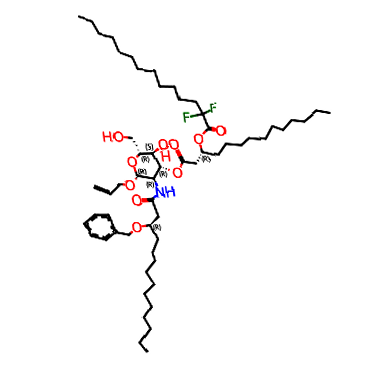 C=CCO[C@@H]1O[C@H](CO)[C@@H](O)[C@H](OC(=O)C[C@@H](CCCCCCCCCCC)OC(=O)C(F)(F)CCCCCCCCCCCC)[C@H]1NC(=O)C[C@@H](CCCCCCCCCCC)OCc1ccccc1